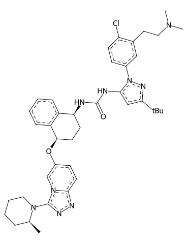 C[C@H]1CCCCN1c1nnc2ccc(O[C@@H]3CC[C@H](NC(=O)Nc4cc(C(C)(C)C)nn4-c4ccc(Cl)c(CCN(C)C)c4)c4ccccc43)cn12